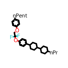 CCCCCc1ccc(OCC(F)(F)Oc2ccc(C3CCC(C4CCC(CCC)CC4)CC3)cc2)cc1